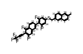 Cc1ccc2cc(CSc3cc(F)c(-c4ccc5c(F)c(C#CC(F)(F)F)c(F)cc5c4)c(F)c3)ccc2c1